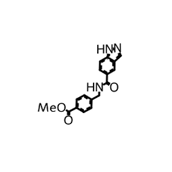 COC(=O)c1ccc(CNC(=O)c2ccc3[nH]ncc3c2)cc1